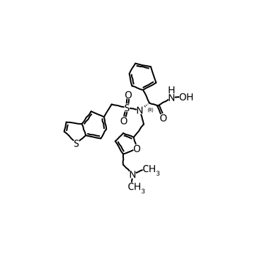 CN(C)Cc1ccc(CN([C@@H](C(=O)NO)c2ccccc2)S(=O)(=O)Cc2ccc3sccc3c2)o1